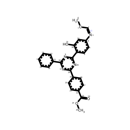 CO/C=N\c1ccc(-c2nc(-c3ccccc3)nc(-c3ccc(C(=O)OC)cc3)n2)c(O)c1